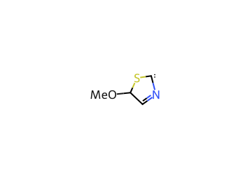 COC1C=N[C]S1